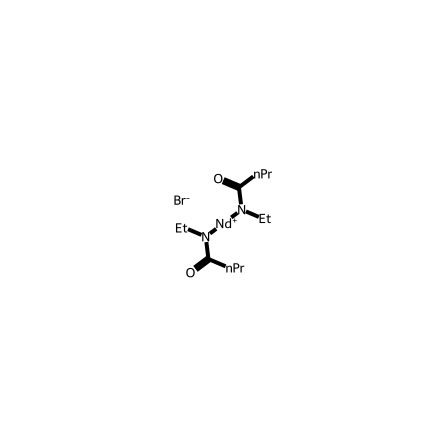 CCCC(=O)[N](CC)[Nd+][N](CC)C(=O)CCC.[Br-]